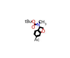 CC(=O)c1ccc2c(c1)OC[C@H]2N(C)C(=O)OC(C)(C)C